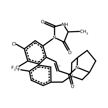 CC1NC(=O)N(c2cc(Cl)c(C(F)(F)F)cc2/C=C/C(=O)N2C3CCC2CN(Cc2ccc(F)cc2)C3)C1=O